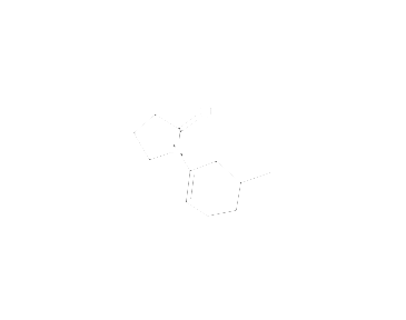 CC1CCC=C(N2CCCC2=O)C1